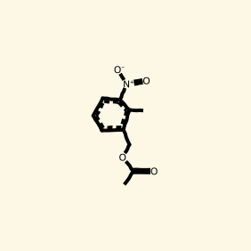 CC(=O)OCc1cccc([N+](=O)[O-])c1C